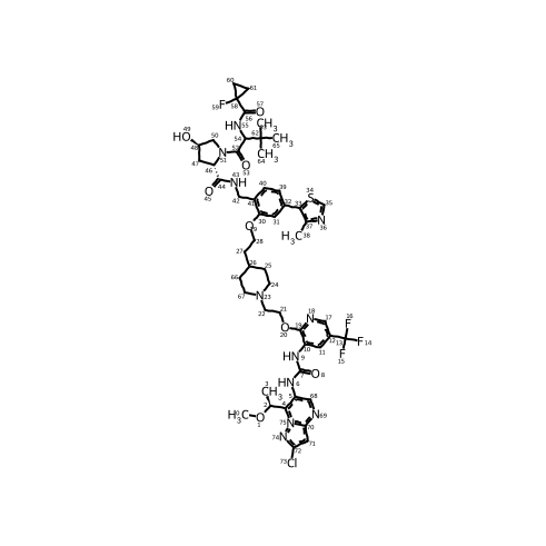 CO[C@@H](C)c1c(NC(=O)Nc2cc(C(F)(F)F)cnc2OCCN2CCC(CCOc3cc(-c4scnc4C)ccc3CNC(=O)[C@@H]3C[C@@H](O)CN3C(=O)C(NC(=O)C3(F)CC3)C(C)(C)C)CC2)cnc2cc(Cl)nn12